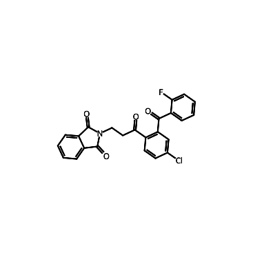 O=C(CCN1C(=O)c2ccccc2C1=O)c1ccc(Cl)cc1C(=O)c1ccccc1F